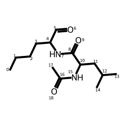 CCCCC(C=O)NC(=O)C(CC(C)C)NC(C)=O